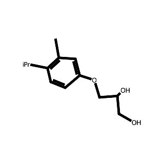 Cc1cc(OCC(O)CO)ccc1C(C)C